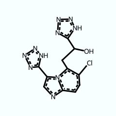 OC(Cc1c(Cl)ccc2ncc(-c3nnn[nH]3)n12)c1nnn[nH]1